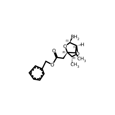 B[C@@H]1O[C@]2(CC(=O)OCc3ccccc3)C(C)[C@@H]1O[C@@H]2C